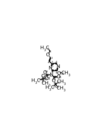 CCO/C=C/c1cnc(OC)c(N(C(=O)OC(C)(C)C)C(=O)OC(C)(C)C)n1